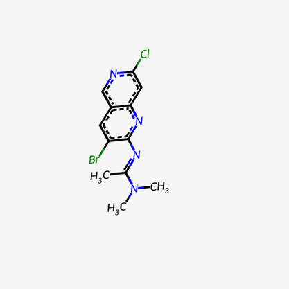 CC(=Nc1nc2cc(Cl)ncc2cc1Br)N(C)C